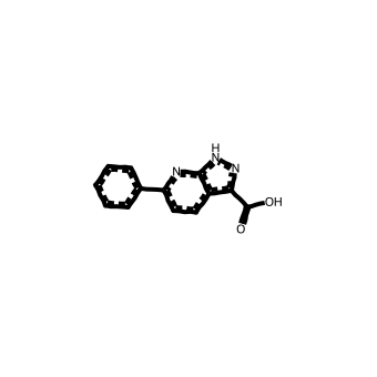 O=C(O)c1n[nH]c2nc(-c3ccccc3)ccc12